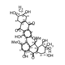 COc1cc2c(c(O)c1-c1c(OC)cc(O)c3c1C(=O)C1=C(C[C@@H](O)[C@@](C)(O)[C@@H]1O)C3=O)C(=O)C1=C(C[C@](C)(O)[C@H](O)C1)C2=O